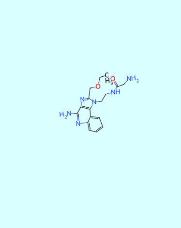 CCOCc1nc2c(N)nc3ccccc3c2n1CCNC(=O)CN